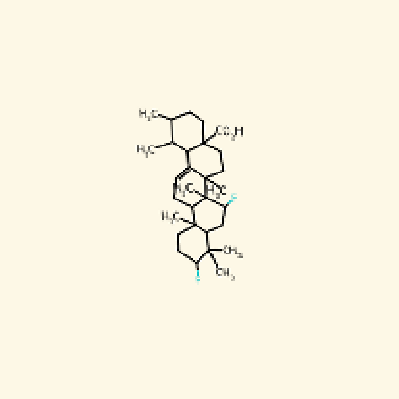 CC1CCC2(C(=O)O)CCC3(C)C(=CCC4C5(C)CCC(F)C(C)(C)C5CC(F)C43C)C2C1C